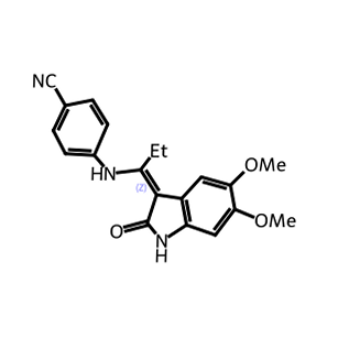 CC/C(Nc1ccc(C#N)cc1)=C1/C(=O)Nc2cc(OC)c(OC)cc21